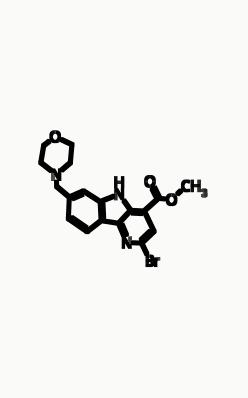 COC(=O)c1cc(Br)nc2c1[nH]c1cc(CN3CCOCC3)ccc12